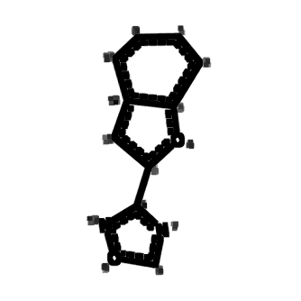 c1ccc2oc(-c3ncon3)cc2c1